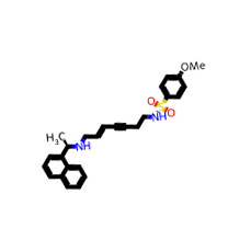 COc1ccc(S(=O)(=O)NCCC#C/C=C/CN[C@H](C)c2cccc3ccccc23)cc1